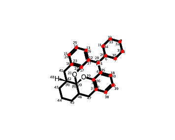 c1cc2c(c(P(C3CCCCC3)C3CCCCC3)c1)O[C@]13Oc4c(cccc4P(C4CCCCC4)C4CCCCC4)C[C@H]1CCCC3C2